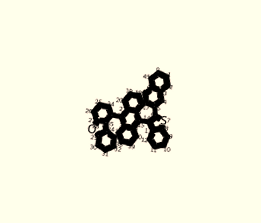 c1ccc2cc(-c3sc4ccccc4c3-c3c4ccccc4c(-c4cccc5oc6ccccc6c45)c4ccccc34)ccc2c1